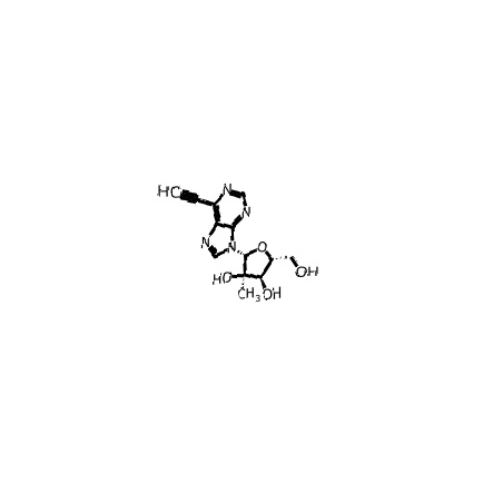 C#Cc1ncnc2c1ncn2[C@@H]1O[C@H](CO)[C@@H](O)[C@@]1(C)O